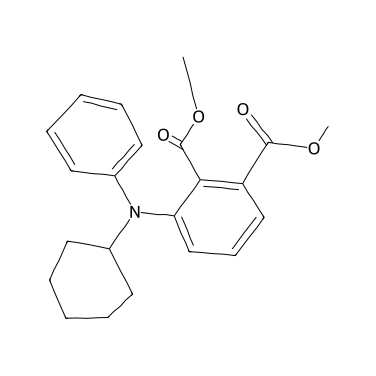 COC(=O)c1cccc(N(c2ccccc2)C2CCCCC2)c1C(=O)OC